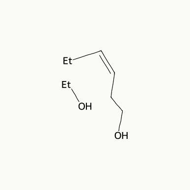 CC/C=C\CCO.CCO